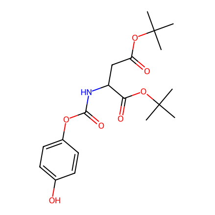 CC(C)(C)OC(=O)CC(NC(=O)Oc1ccc(O)cc1)C(=O)OC(C)(C)C